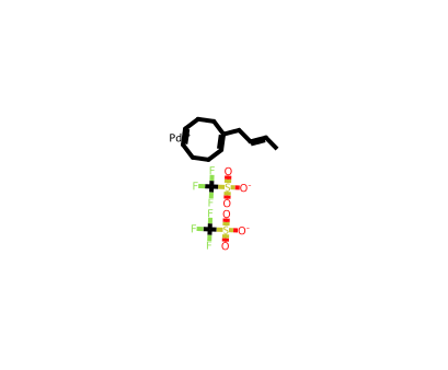 CC=CCC1=CCCC=CCC1.O=S(=O)([O-])C(F)(F)F.O=S(=O)([O-])C(F)(F)F.[Pd+2]